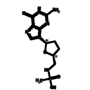 CP(=O)(O)PC[C@@H]1CC[C@H](n2cnc3c(=O)[nH]c(N)nc32)O1